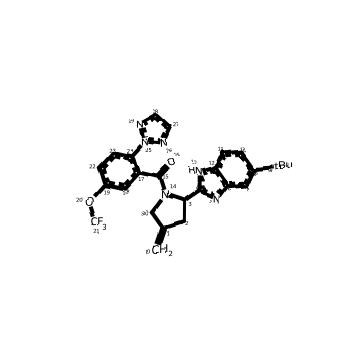 C=C1CC(c2nc3cc(C(C)(C)C)ccc3[nH]2)N(C(=O)c2cc(OC(F)(F)F)ccc2-n2nccn2)C1